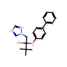 CC(C)(C)C(O)(Cn1cncn1)Oc1ccc(-c2ccccc2)cc1